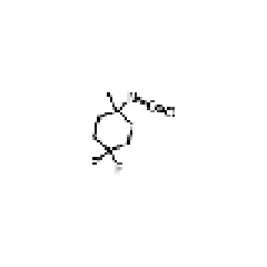 CC1(N=C=O)CCC(F)(F)CC1